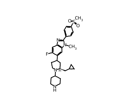 Cn1c(-c2ccc(S(C)(=O)=O)cc2)nc2cc(F)c(C3CCN(C4CCNCC4)[C@H](CC4CC4)C3)cc21